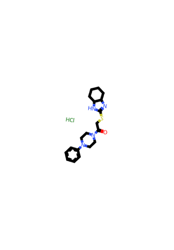 Cl.O=C(CSC1=NC2CCCCC2N1)N1CCN(c2ccccc2)CC1